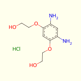 Cl.Nc1cc(N)c(OCCO)cc1OCCO